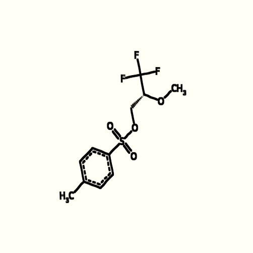 CO[C@H](COS(=O)(=O)c1ccc(C)cc1)C(F)(F)F